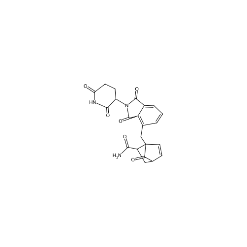 NC(=O)C1CC2C=CC1(Cc1cccc3c1C(=O)N(C1CCC(=O)NC1=O)C3=O)C2=O